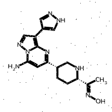 C/C(=N\O)[C@@H]1CC[C@H](c2cc(N)n3ncc(-c4cn[nH]c4)c3n2)CN1